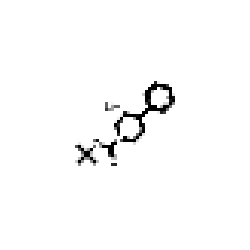 CC(C)(C)OC(=O)N1CCC(c2[c]cccc2)CC1.[LiH]